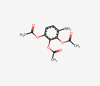 CC(=O)Oc1ccc([SiH3])c(OC(C)=O)c1OC(C)=O